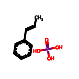 CC=Cc1ccccc1.O=P(O)(O)O